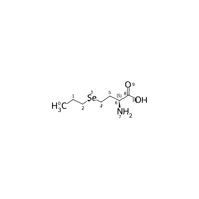 CCC[Se]CC[C@H](N)C(=O)O